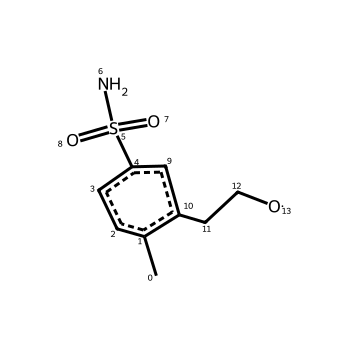 Cc1ccc(S(N)(=O)=O)cc1CC[O]